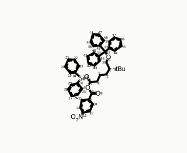 CC(C)(C)[C@H](CCCC(OC(=O)c1ccc([N+](=O)[O-])cc1)O[SiH](c1ccccc1)c1ccccc1)COC(c1ccccc1)(c1ccccc1)c1ccccc1